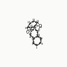 c1ccc2c3nnc(c2c1)Oc1ccc(cc1)O3